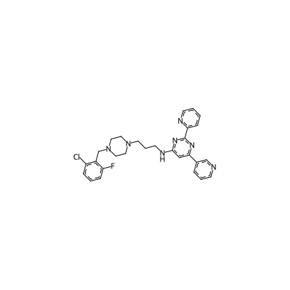 Fc1cccc(Cl)c1CN1CCN(CCCNc2cc(-c3cccnc3)nc(-c3ccccn3)n2)CC1